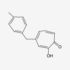 Cc1ccc(Cc2cccc(=O)c(O)c2)cc1